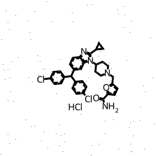 Cl.NC(=O)c1ccc(CN2CCC(n3c(C4CC4)nc4ccc(C(c5ccc(Cl)cc5)c5ccc(Cl)cc5)cc43)CC2)o1